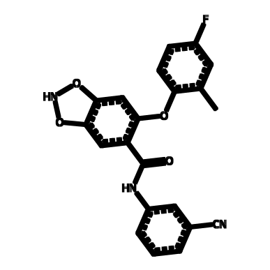 Cc1cc(F)ccc1Oc1cc2c(cc1C(=O)Nc1cccc(C#N)c1)ONO2